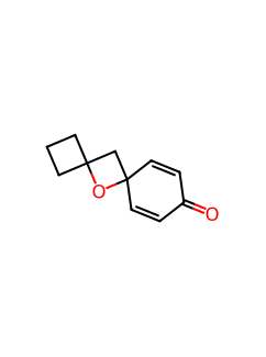 O=C1C=CC2(C=C1)CC1(CCC1)O2